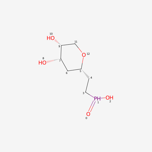 O=[PH](O)CC[C@@H]1C[C@H](O)[C@H](O)CO1